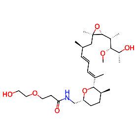 CO[C@H]([C@@H](C)[C@H]1O[C@]1(C)C[C@H](C)/C=C/C=C(\C)[C@H]1O[C@@H](CNC(=O)CCOCCO)CC[C@@H]1C)[C@@H](C)O